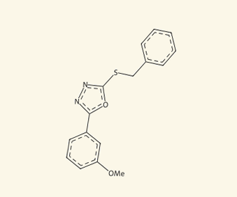 COc1cccc(-c2nnc(SCc3ccccc3)o2)c1